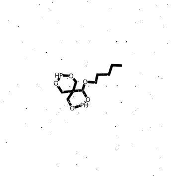 CCCCCOC1OPOCC12COPOC2